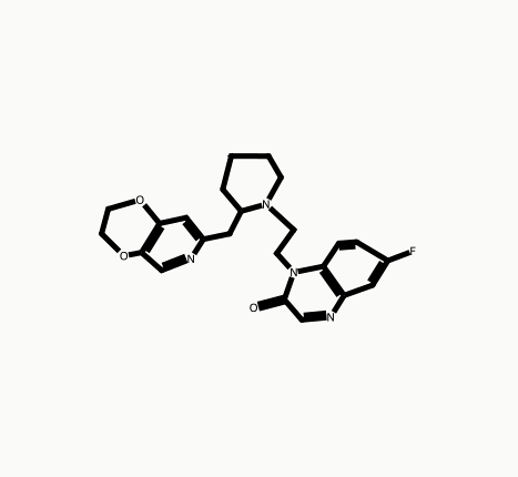 O=c1cnc2cc(F)ccc2n1CCN1CC[CH]CC1Cc1cc2c(cn1)OCCO2